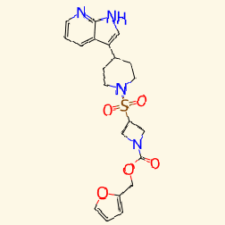 O=C(OCc1ccco1)N1CC(S(=O)(=O)N2CCC(c3c[nH]c4ncccc34)CC2)C1